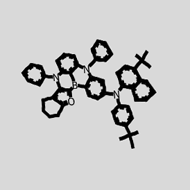 CC(C)(C)c1ccc(N(c2ccc3c(c2)N(c2ccccc2)c2cccc4c2B3c2oc3c(c2N4c2ccccc2)CCCC3)c2ccc(C(C)(C)C)c3ccccc23)cc1